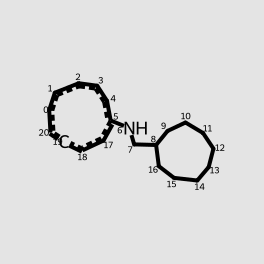 c1ccccc(NCC2CCCCCCCC2)cccc1